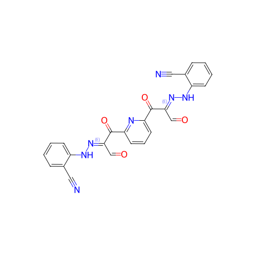 N#Cc1ccccc1N/N=C(\C=O)C(=O)c1cccc(C(=O)/C(C=O)=N/Nc2ccccc2C#N)n1